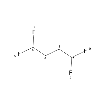 F[C](F)CCC(F)F